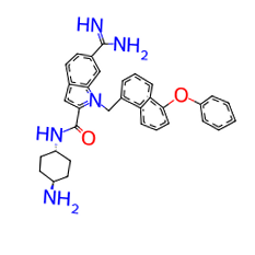 N=C(N)c1ccc2cc(C(=O)N[C@H]3CC[C@H](N)CC3)n(Cc3cccc4c(Oc5ccccc5)cccc34)c2c1